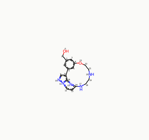 OCc1cc2cc(c1)-c1cnn3ccc(nc13)NCCNCCO2